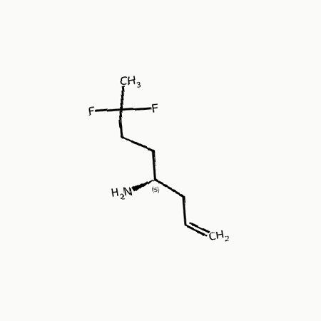 C=CC[C@@H](N)CCC(C)(F)F